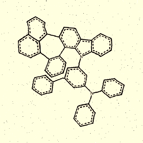 c1ccc(-c2cc(N(c3ccccc3)c3ccccc3)cc(-n3c4ccccc4c4ccc5c(c43)-c3ccccc3-c3cccc4cccc-5c34)c2)cc1